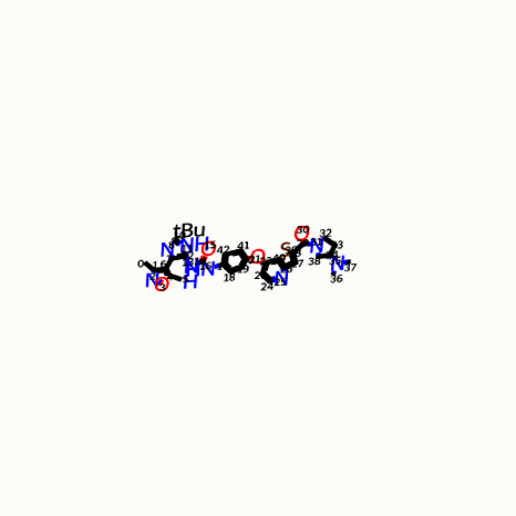 Cc1noc(C)c1-c1nc(C(C)(C)C)[nH]c1NC(=O)Nc1ccc(Oc2ccnc3cc(C(=O)N4CCC(N(C)C)C4)sc23)cc1